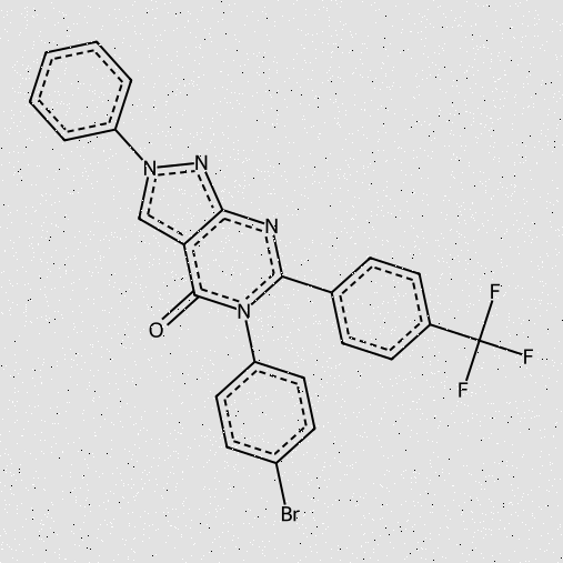 O=c1c2cn(-c3ccccc3)nc2nc(-c2ccc(C(F)(F)F)cc2)n1-c1ccc(Br)cc1